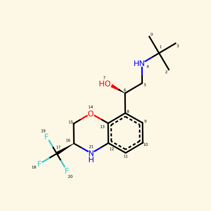 CC(C)(C)NC[C@H](O)c1cccc2c1OC[C@H](C(F)(F)F)N2